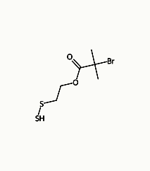 CC(C)(Br)C(=O)OCCSS